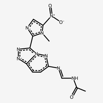 CC(=O)NC=Nc1ccc2nnc(-c3ncc([N+](=O)[O-])n3C)n2n1